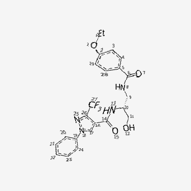 CCOc1ccc(C(=O)NC[C@H](CO)NC(=O)c2cn(-c3ccccc3)nc2C(F)(F)F)cc1